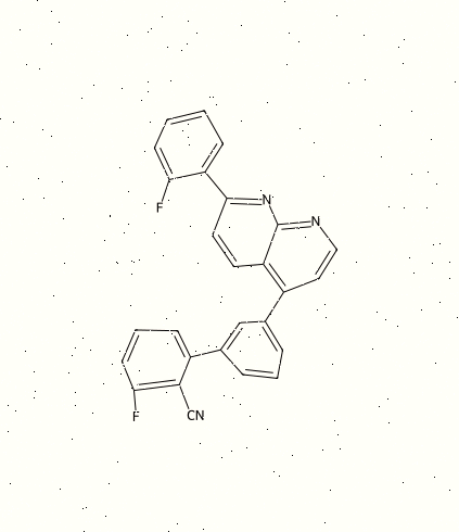 N#Cc1c(F)cccc1-c1cccc(-c2ccnc3nc(-c4ccccc4F)ccc23)c1